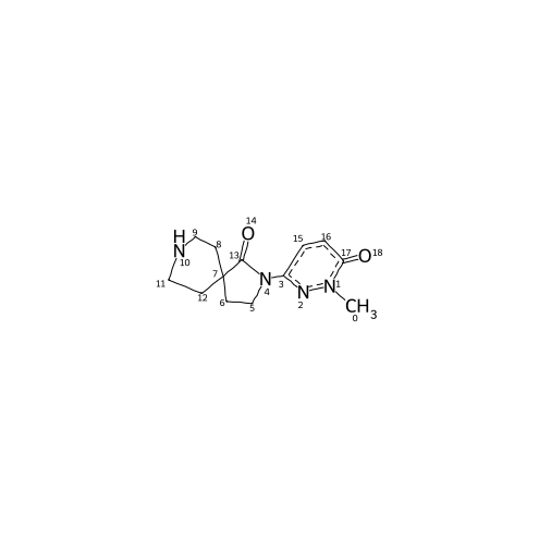 Cn1nc(N2CCC3(CCNCC3)C2=O)ccc1=O